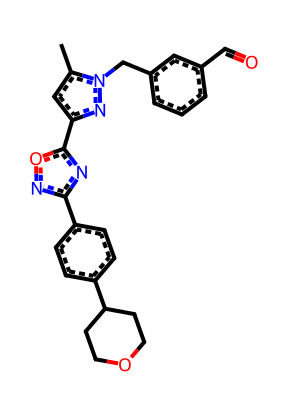 Cc1cc(-c2nc(-c3ccc(C4CCOCC4)cc3)no2)nn1Cc1cccc(C=O)c1